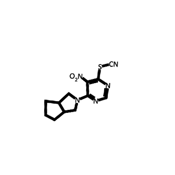 N#CSc1ncnc(N2CC3CCCC3C2)c1[N+](=O)[O-]